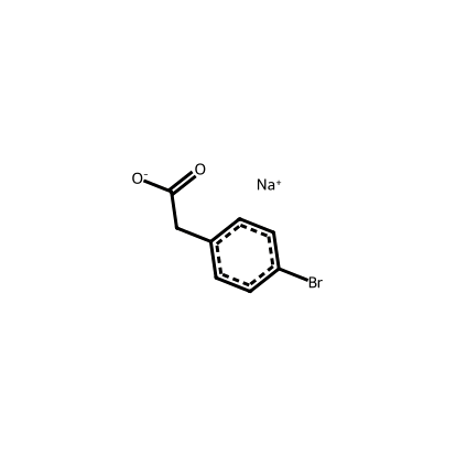 O=C([O-])Cc1ccc(Br)cc1.[Na+]